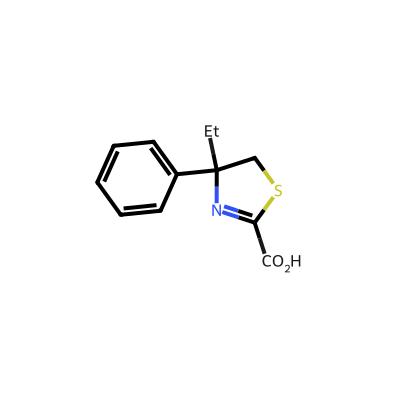 CCC1(c2ccccc2)CSC(C(=O)O)=N1